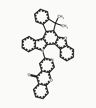 CC1(C)c2ccccc2-c2c1c1oc3ccccc3c1c1c2c2ccccc2n1-c1cc2c(=O)c3ccccc3oc2cn1